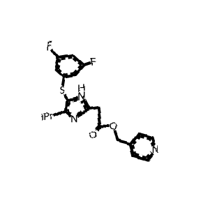 CC(C)c1nc(CC(=O)OCc2ccncc2)[nH]c1Sc1cc(F)cc(F)c1